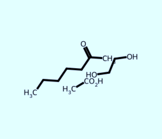 CC(=O)O.CCCCCC(C)=O.OCCO